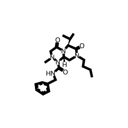 CCCCN1C[C@H]2N(C(=O)CN(C)N2C(=O)NCc2ccccc2)[C@@H](C(C)C)C1=O